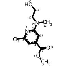 COC(=O)c1cc(Cl)nc(N(C)CCO)c1